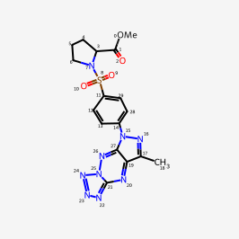 COC(=O)C1CCCN1S(=O)(=O)c1ccc(-n2nc(C)c3nc4nnnn4nc32)cc1